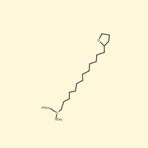 CCCCCCCCCC[S+](CCCCCC)CCCCCCCCCCCCCC1CCCO1